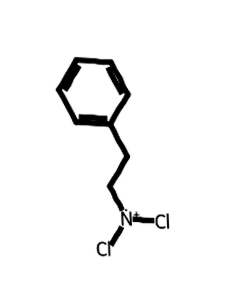 Cl[N+](Cl)CCc1ccccc1